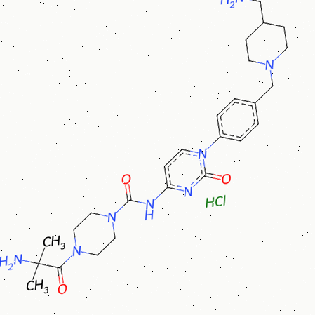 C[C@@H](N)C1CCN(Cc2ccc(-n3ccc(NC(=O)N4CCN(C(=O)C(C)(C)N)CC4)nc3=O)cc2)CC1.Cl